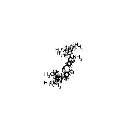 CC(C)(C)OC(=O)C[C@H](C(=O)OC(C)(C)C)C(Cc1ccc2c(c1)CCOc1cc(N/C(=N/C(=O)OC(C)(C)C)NC(=O)OC(C)(C)C)ccc1C(=O)O2)C(N)=O